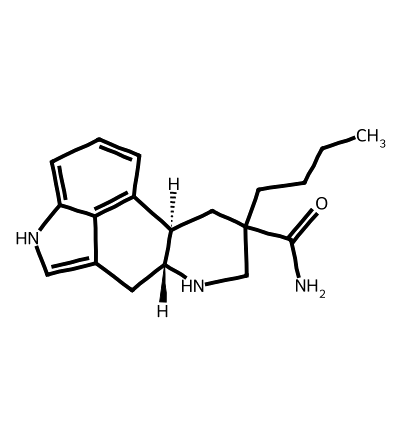 CCCCC1(C(N)=O)CN[C@@H]2Cc3c[nH]c4cccc(c34)[C@H]2C1